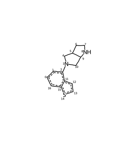 c1cc(N2CC3CCNC3C2)c2ccsc2c1